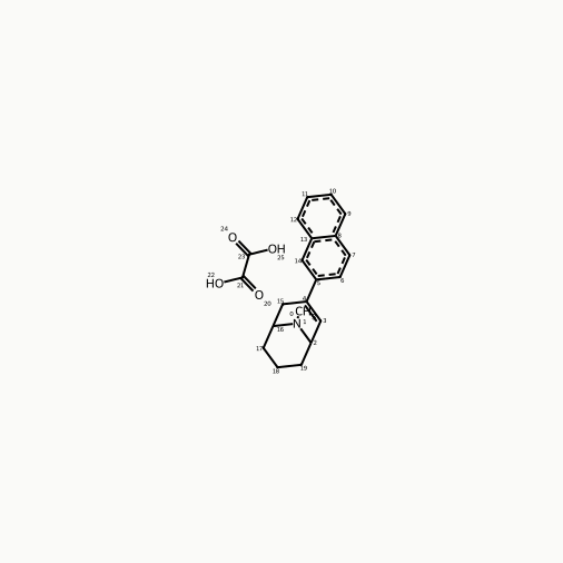 CN1C2C=C(c3ccc4ccccc4c3)CC1CCC2.O=C(O)C(=O)O